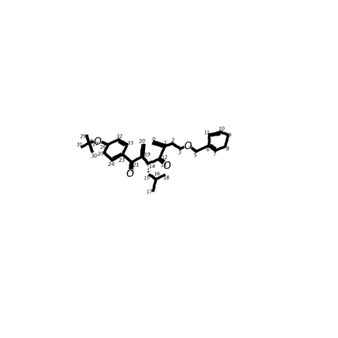 C=C(CCOCC1=CCCC=C1)C(=O)[C@H](CC(C)C)C(=C)C(=O)C1=CCC(OC(C)(C)C)C=C1